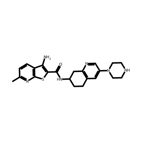 Cc1ccc2c(N)c(C(=O)NC3CCc4cc(N5CCNCC5)cnc4C3)sc2n1